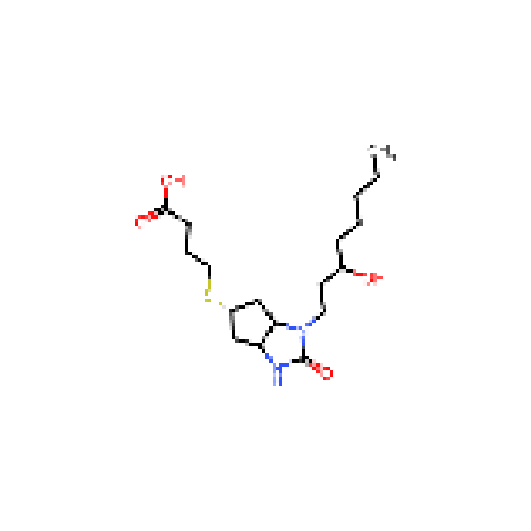 CCCCCC(O)CCN1C(=O)NC2C[C@H](SCCCC(=O)O)CC21